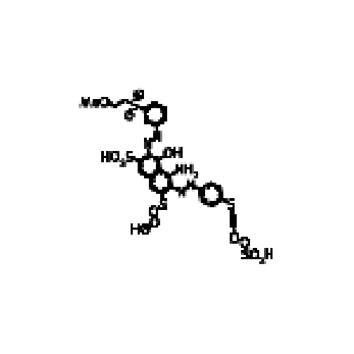 COCCS(=O)(=O)c1cccc(N=Nc2c(S(=O)(=O)O)cc3cc(SOOO)c(N=Nc4ccc(SC#COOS(=O)(=O)O)cc4)c(N)c3c2O)c1